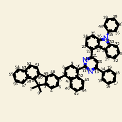 CC1(C)c2ccc(-c3ccc(-c4nc(-c5ccccc5)cc(-c5cccc6c5c5ccccc5n6-c5ccccc5)n4)c4ccccc34)cc2-c2ccc3ccccc3c21